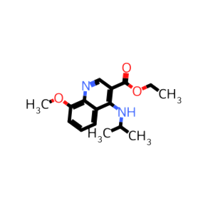 CCOC(=O)c1cnc2c(OC)cccc2c1NC(C)C